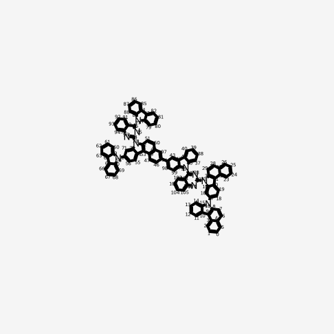 c1ccc2c(c1)ccc1c2c2ccccc2n1-c1ccc2c3c4ccccc4ccc3n(-c3nc(-n4c5ccccc5c5cc(-c6ccc7c(ccc8c7c7ccc(-n9c%10ccccc%10c%10ccccc%109)cc7n8-c7nc(-n8c9ccccc9c9ccccc98)c8ccccc8n7)c6)ccc54)c4ccccc4n3)c2c1